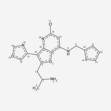 CC(N)Cc1oc2c(NCc3cccs3)cc(Cl)nc2c1-c1cocn1